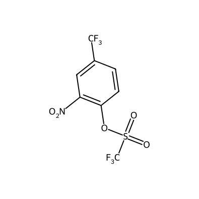 O=[N+]([O-])c1cc(C(F)(F)F)ccc1OS(=O)(=O)C(F)(F)F